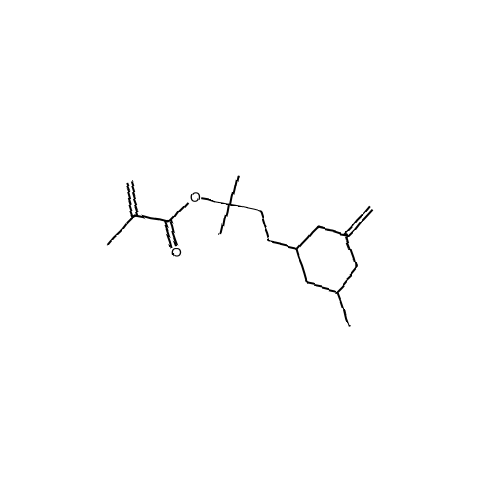 C=C1CC(C)CC(CCC(C)(C)OC(=O)C(=C)C)C1